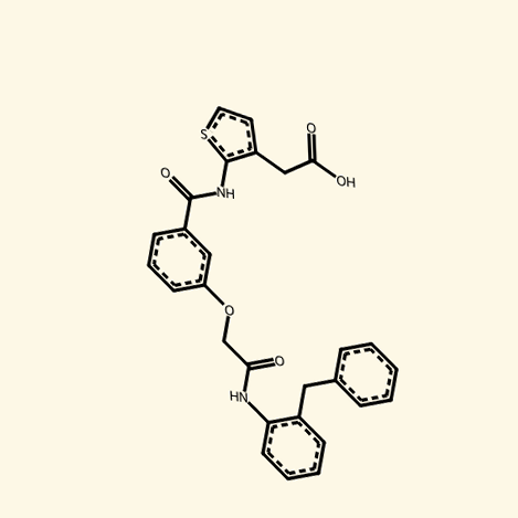 O=C(O)Cc1ccsc1NC(=O)c1cccc(OCC(=O)Nc2ccccc2Cc2ccccc2)c1